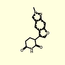 Cn1cc2cc3c(C4CCC(=O)NC4=O)coc3cc2n1